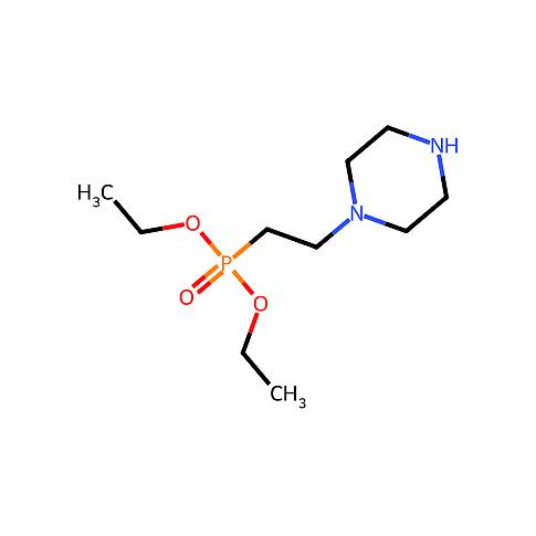 CCOP(=O)(CCN1CCNCC1)OCC